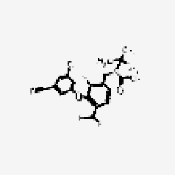 CC(C)(C)N(Cc1ccc(C(F)F)c(Oc2cc(Cl)cc(C#N)c2)c1F)C(=O)O